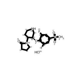 CS(=O)(=O)c1cc(F)c(O[C@@H]2CNCCC2N2CCCC2=O)c(F)c1.Cl